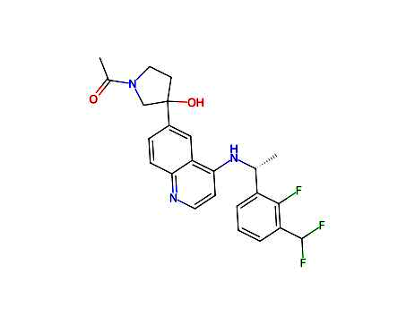 CC(=O)N1CCC(O)(c2ccc3nccc(N[C@H](C)c4cccc(C(F)F)c4F)c3c2)C1